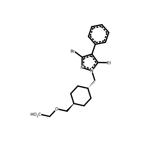 CCc1c(-c2ccccc2)c(Br)nn1C[C@H]1CC[C@H](COCC(=O)O)CC1